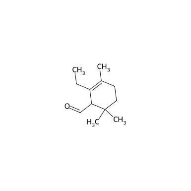 CCC1=C(C)CCC(C)(C)C1C=O